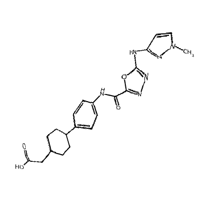 Cn1ccc(Nc2nnc(C(=O)Nc3ccc(C4CCC(CC(=O)O)CC4)cc3)o2)n1